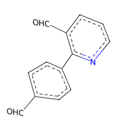 O=Cc1ccc(-c2ncccc2C=O)cc1